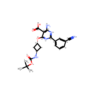 CC(C)(C)OC(=O)N[C@H]1C[C@H](Oc2nc(-c3cccc(C#N)c3)nc(N)c2C(=O)O)C1